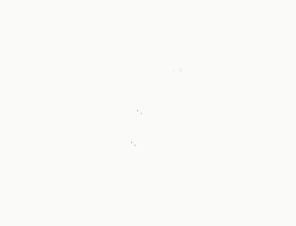 O=c1[nH]c2cc(Cl)ccc2n(CCCO)c1=O